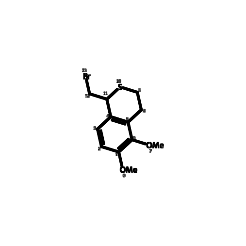 COc1ccc2c(c1OC)CCSC2CBr